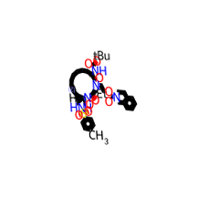 CC[C@H]1C(=O)N[C@]2(C(=O)NS(=O)(=O)c3ccc(C)cc3)C[C@H]2/C=C\CCCCC[C@H](NC(=O)OC(C)(C)C)C(=O)N1CCOC(=O)N1CCc2ccccc2C1